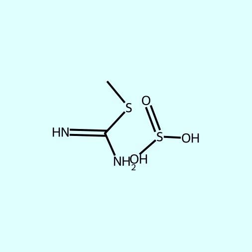 CSC(=N)N.O=S(O)O